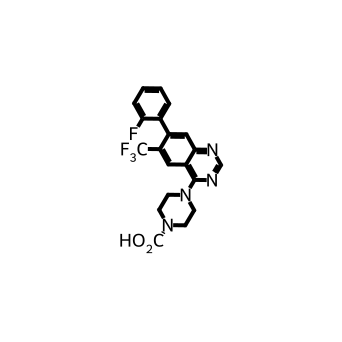 O=C(O)N1CCN(c2ncnc3cc(-c4ccccc4F)c(C(F)(F)F)cc23)CC1